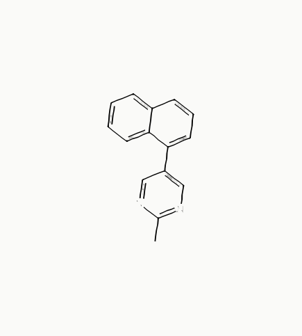 Cc1ncc(-c2cccc3ccccc23)cn1